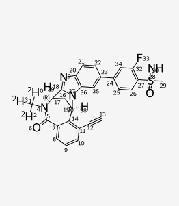 [2H]C([2H])([2H])N1C(=O)c2cccc(C#C)c2[C@H]2C[C@@H]1c1nc3ccc(-c4ccc(S(C)(=N)=O)c(F)c4)cc3n12